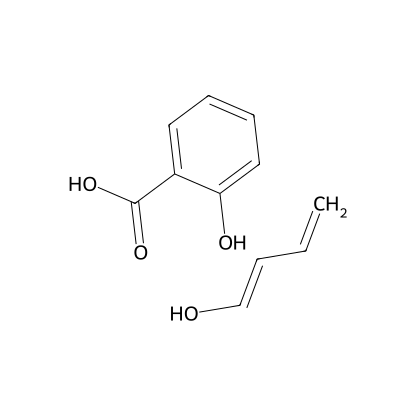 C=CC=CO.O=C(O)c1ccccc1O